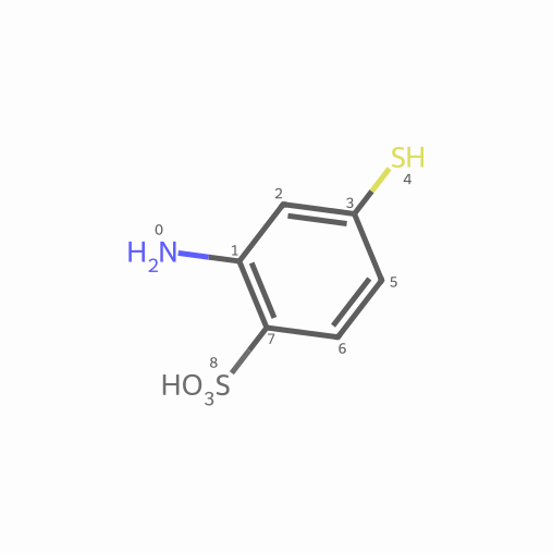 Nc1cc(S)ccc1S(=O)(=O)O